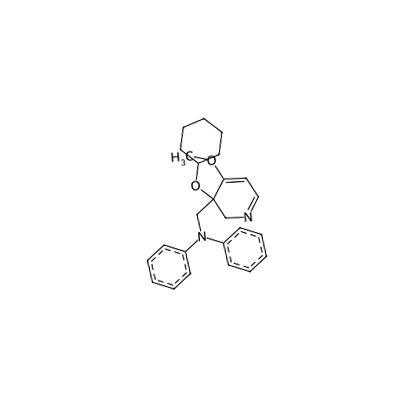 COC1=CC=NCC1(CN(c1ccccc1)c1ccccc1)OC1CCCCC1